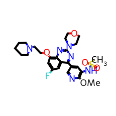 COc1ncc(-c2nc(N3CCOCC3)nc3c(OCCN4CCCCC4)cc(F)cc23)cc1NS(C)(=O)=O